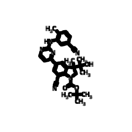 Cc1ccc(C#N)cc1Nc1nccc(-c2cc(C#N)c3c(c2)C(C)(C(C)(C)O)CN3C(=O)OC(C)(C)C)n1